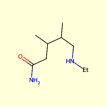 CCNCC(C)C(C)CC(N)=O